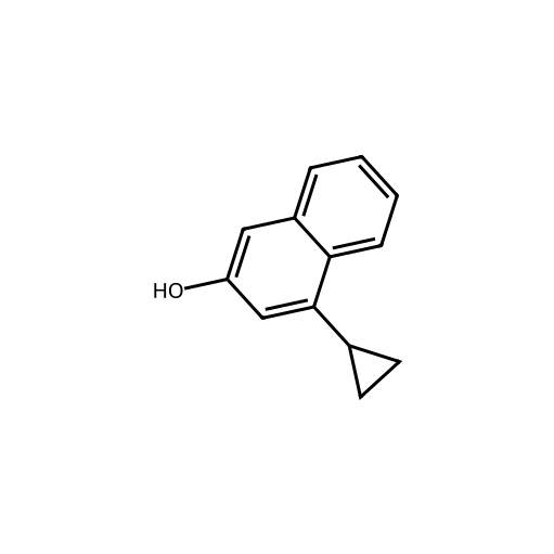 Oc1cc(C2CC2)c2ccccc2c1